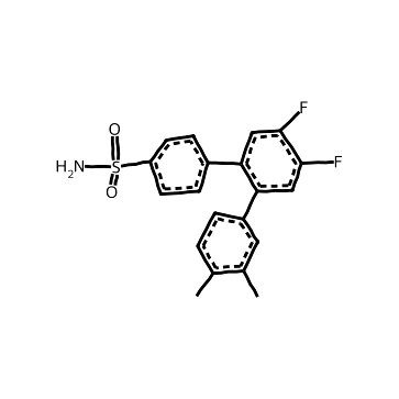 Cc1ccc(-c2cc(F)c(F)cc2-c2ccc(S(N)(=O)=O)cc2)cc1C